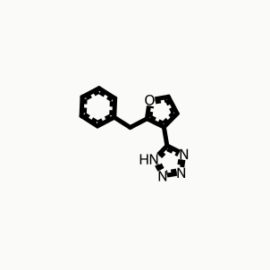 c1ccc(Cc2occc2-c2nnn[nH]2)cc1